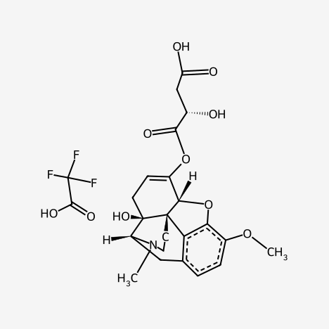 COc1ccc2c3c1O[C@H]1C(OC(=O)[C@@H](O)CC(=O)O)=CC[C@@]4(O)[C@@H](C2)N(C)CC[C@]314.O=C(O)C(F)(F)F